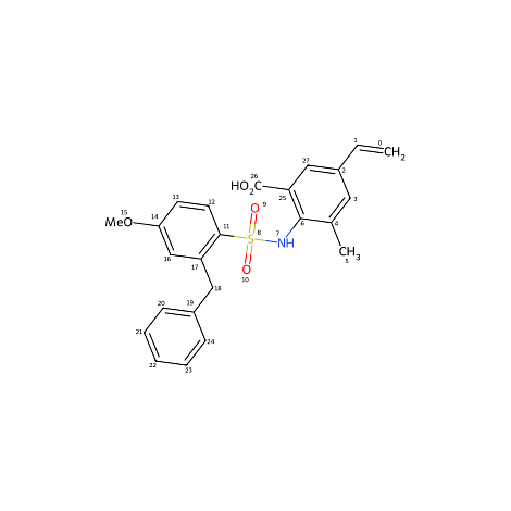 C=Cc1cc(C)c(NS(=O)(=O)c2ccc(OC)cc2Cc2ccccc2)c(C(=O)O)c1